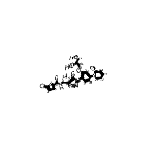 Cc1c(CNC(=O)c2ccc(Cl)s2)nnn1-c1ccc(-n2ccccc2=O)cc1OC[C@H](O)CO